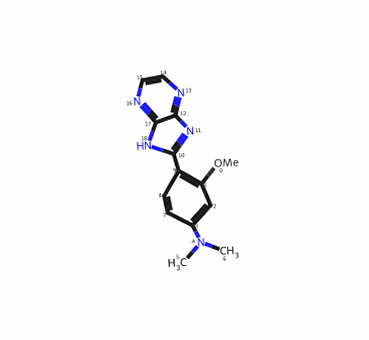 COc1cc(N(C)C)ccc1-c1nc2nccnc2[nH]1